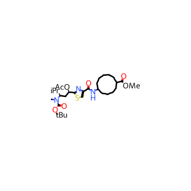 COC(=O)C1CCCCCC(NC(=O)c2csc([C@@H](C[C@H](C(C)C)N(C)C(=O)OC(C)(C)C)OC(C)=O)n2)CCCC1